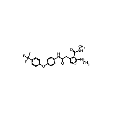 CNC(=O)c1c(CC(=O)Nc2ccc(Oc3ccc(C(F)(F)F)cc3)cc2)coc1NC